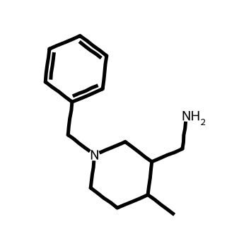 CC1CCN(Cc2ccccc2)CC1CN